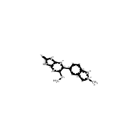 COc1nc2[nH]c(=S)sc2nc1-c1ccc2nn(C)cc2c1